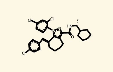 C[C@@H](NC(=O)c1nn(-c2ccc(Cl)cc2Cl)c2c1CCCC/C2=C\c1ccc(Cl)cc1)C1CCCCC1